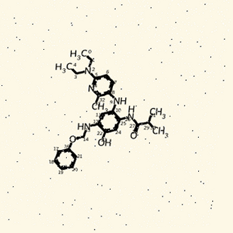 CCN(CC)c1ccc(Nc2cc(NCOc3ccccc3)c(O)cc2NC(=O)C(C)C)c(C)n1